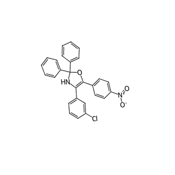 O=[N+]([O-])c1ccc(C2=C(c3cccc(Cl)c3)NC(c3ccccc3)(c3ccccc3)O2)cc1